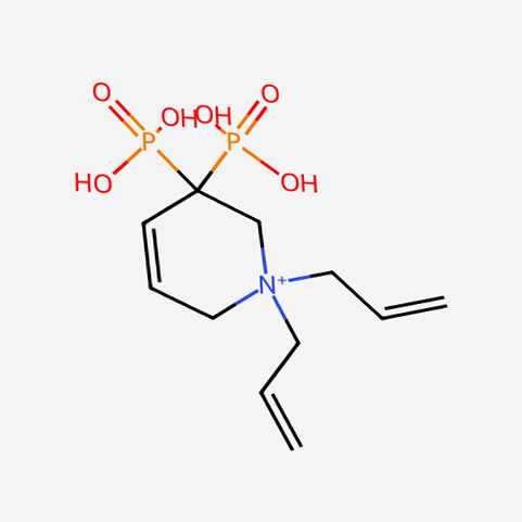 C=CC[N+]1(CC=C)CC=CC(P(=O)(O)O)(P(=O)(O)O)C1